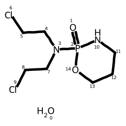 O.O=P1(N(CCCl)CCCl)NCCCO1